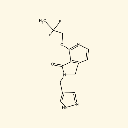 CC(F)(F)COc1nccc2c1C(=O)N(Cc1cn[nH]c1)C2